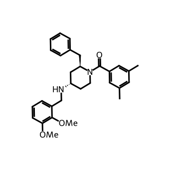 COc1cccc(CN[C@H]2CCN(C(=O)c3cc(C)cc(C)c3)[C@H](Cc3ccccc3)C2)c1OC